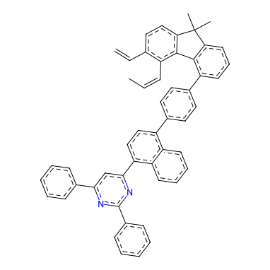 C=Cc1ccc2c(c1/C=C\C)-c1c(-c3ccc(-c4ccc(-c5cc(-c6ccccc6)nc(-c6ccccc6)n5)c5ccccc45)cc3)cccc1C2(C)C